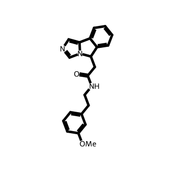 COc1cccc(CCNC(=O)CC2c3ccccc3-c3cncn32)c1